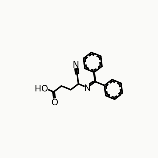 N#CC(CCC(=O)O)N=C(c1ccccc1)c1ccccc1